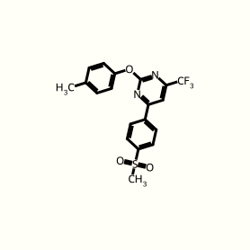 Cc1ccc(Oc2nc(-c3ccc(S(C)(=O)=O)cc3)cc(C(F)(F)F)n2)cc1